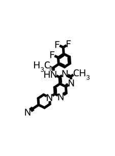 Cc1nc(N[C@H](C)c2cccc(C(F)F)c2F)c2cc(N3CCC(C#N)CC3)ncc2n1